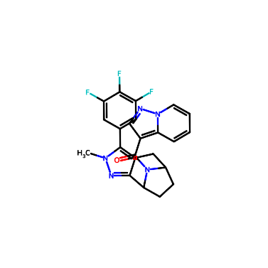 Cn1nc2c(c1-c1cc(F)c(F)c(F)c1)CC1CCC2N1C(=O)c1cnn2ccccc12